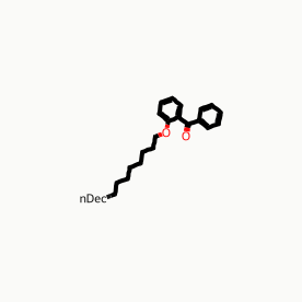 CCCCCCCCCCCCCCCCCCOc1ccccc1C(=O)c1ccccc1